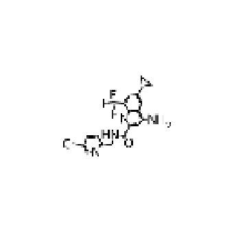 Nc1cc(C(=O)NCc2ccc(Cl)cn2)nc2c(C(F)(F)F)cc(C3CC3)cc12